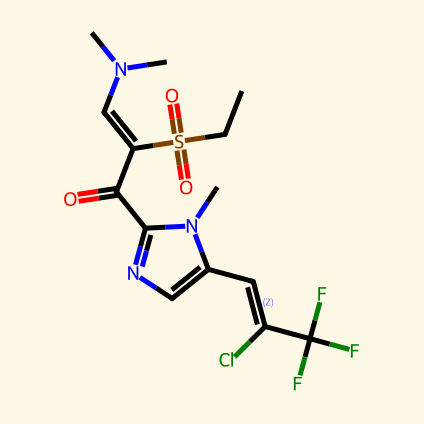 CCS(=O)(=O)C(=CN(C)C)C(=O)c1ncc(/C=C(\Cl)C(F)(F)F)n1C